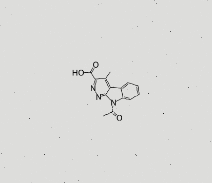 CC(=O)n1c2ccccc2c2c(C)c(C(=O)O)nnc21